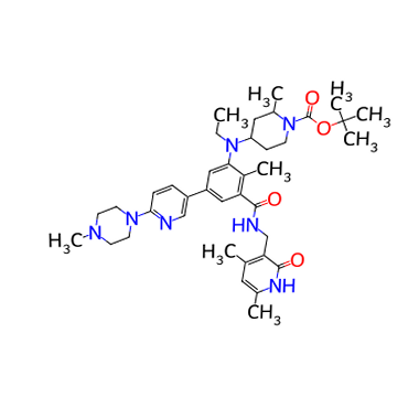 CCN(c1cc(-c2ccc(N3CCN(C)CC3)nc2)cc(C(=O)NCc2c(C)cc(C)[nH]c2=O)c1C)C1CCN(C(=O)OC(C)(C)C)C(C)C1